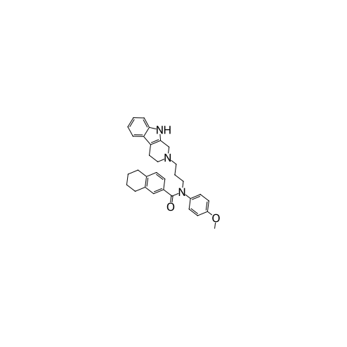 COc1ccc(N(CCCN2CCc3c([nH]c4ccccc34)C2)C(=O)c2ccc3c(c2)CCCC3)cc1